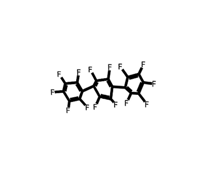 Fc1c(F)c(F)c(-c2c(F)c(F)c(-c3c(F)c(F)c(F)c(F)c3F)c(F)c2F)c(F)c1F